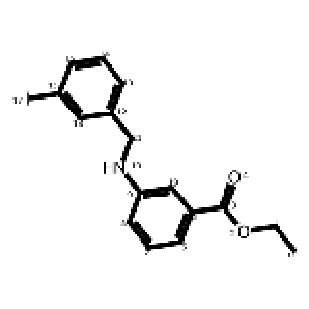 CCOC(=O)c1cccc(NCc2cccc(I)c2)c1